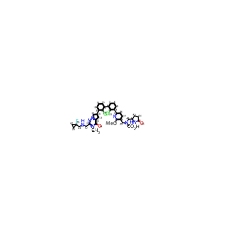 COc1nc(-c2cccc(-c3cccc(-c4cc5c(=O)n(C)c(CNCC6(F)CC6)nn5c4)c3Cl)c2Cl)ccc1CN(CC1CCC(=O)N1)C(=O)O